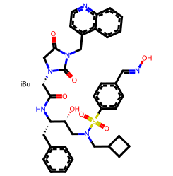 CC[C@H](C)[C@@H](C(=O)N[C@@H](Cc1ccccc1)[C@H](O)CN(CC1CCC1)S(=O)(=O)c1ccc(/C=N/O)cc1)N1CC(=O)N(Cc2ccnc3ccccc23)C1=O